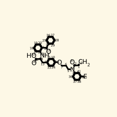 C=CC(=O)N(CCCOc1ccc(CC(Nc2ccccc2C(=O)c2ccccc2)C(=O)O)cc1)c1cccc(F)c1